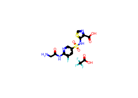 NCC(=O)Nc1ncc(S(=O)(=O)Nc2scnc2C(=O)O)cc1F.O=C(O)C(F)(F)F